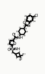 N=S(=O)(CC1CC(F)(F)C1)c1ccc(C(=O)NC2CCC(c3nc4cc(Cl)ccc4o3)CC2)o1